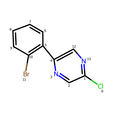 Clc1cnc(-c2ccc[c]c2Br)cn1